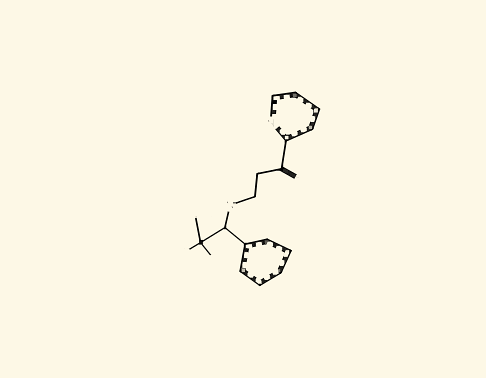 CC(C)(C)C(NCCC(=O)c1ccccn1)c1ccccc1